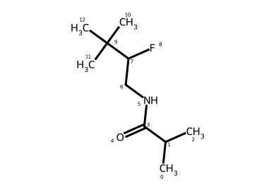 CC(C)C(=O)NCC(F)C(C)(C)C